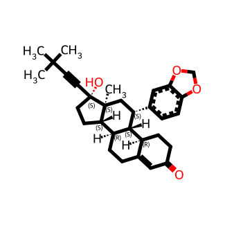 CC(C)(C)C#C[C@]1(O)CC[C@H]2[C@@H]3CCC4=CC(=O)CC[C@@H]4[C@H]3[C@@H](c3ccc4c(c3)OCO4)C[C@@]21C